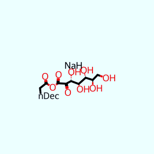 CCCCCCCCCCCC(=O)OC(=O)C(=O)[C@H](O)[C@@H](O)[C@H](O)[C@H](O)CO.[NaH]